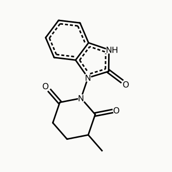 CC1CCC(=O)N(n2c(=O)[nH]c3ccccc32)C1=O